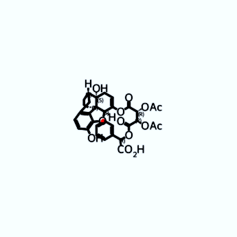 CC(=O)O[C@@H](C(=O)OC1=CC[C@]2(O)[C@H]3CCC[C@]24c2c(ccc(O)c2O[C@H]14)C3)[C@@H](OC(C)=O)C(=O)O[C@@H](C(=O)O)c1ccccc1